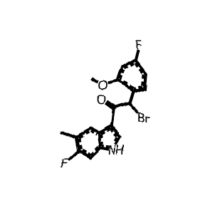 COc1cc(F)ccc1C(Br)C(=O)c1c[nH]c2cc(F)c(C)cc12